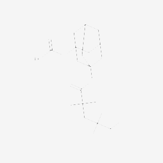 CCC(C)C(=O)OC12CC3CC(C1)CC(OC(=O)C(F)(F)CC(F)(F)CC(F)(F)F)(C3)C2